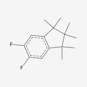 CC1(C)c2cc(F)c(F)cc2C(C)(C)C1(C)C